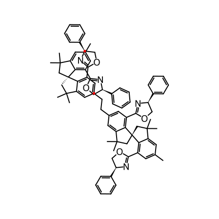 Cc1cc(C2=N[C@@H](c3ccccc3)CO2)c2c(c1)C(C)(C)C[C@]21CC(C)(C)c2cc(CCc3cc(C4=N[C@@H](c5ccccc5)CO4)c4c(c3)C(C)(C)C[C@@]43CC(C)(C)c4cc(C)cc(C5=N[C@@H](c6ccccc6)CO5)c43)cc(C3=N[C@@H](c4ccccc4)CO3)c21